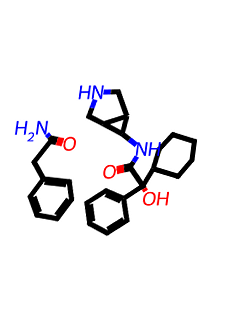 NC(=O)Cc1ccccc1.O=C(NC1C2CNCC21)C(O)(c1ccccc1)C1CCCCC1